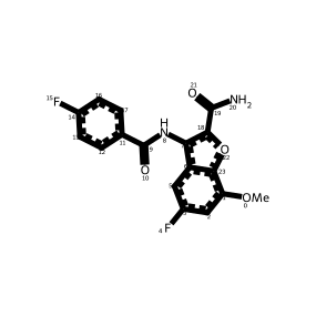 COc1cc(F)cc2c(NC(=O)c3ccc(F)cc3)c(C(N)=O)oc12